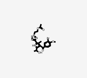 COc1ccc(C(=O)c2c(C(C)O)[nH]c(-c3nnn(CCOC(C)=O)n3)c2C)cc1Br